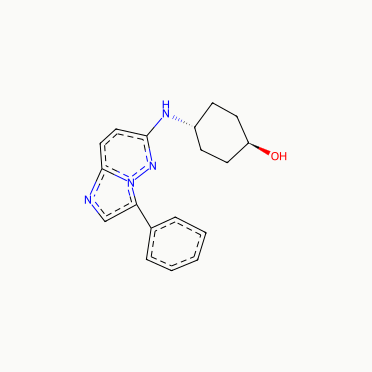 O[C@H]1CC[C@H](Nc2ccc3ncc(-c4ccccc4)n3n2)CC1